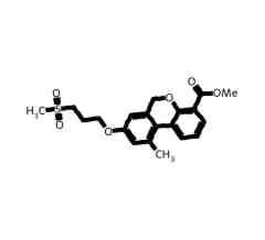 COC(=O)c1cccc2c1OCc1cc(OCCCS(C)(=O)=O)cc(C)c1-2